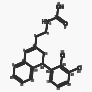 O=C(O)NCCC1=Cc2ccccc2C(c2cccc(Cl)c2Cl)C1